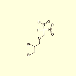 O=[N+]([O-])C(F)(COCC(Br)CBr)[N+](=O)[O-]